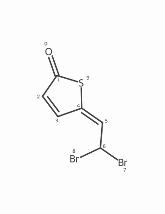 O=C1C=C/C(=C\C(Br)Br)S1